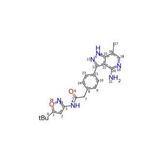 CC(C)(C)c1cc(NC(=O)Cc2ccc(-c3n[nH]c4c(I)cnc(N)c34)cc2)no1